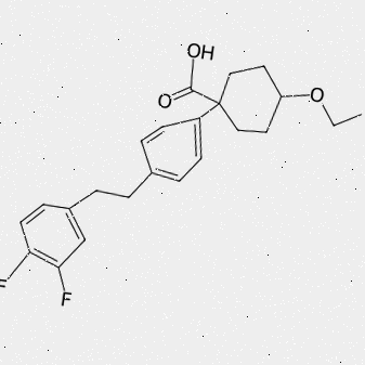 CCOC1CCC(C(=O)O)(c2ccc(CCc3ccc(F)c(F)c3)cc2)CC1